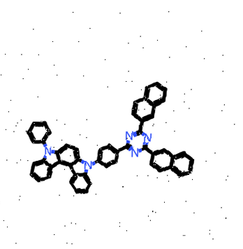 c1ccc(-n2c3ccccc3c3c4c5ccccc5n(-c5ccc(-c6nc(-c7ccc8ccccc8c7)nc(-c7ccc8ccccc8c7)n6)cc5)c4ccc32)cc1